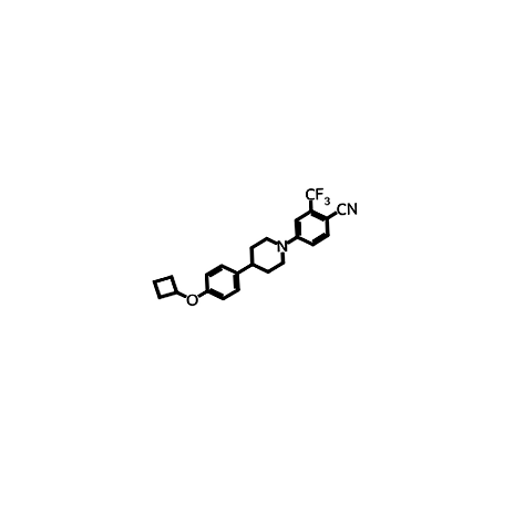 N#Cc1ccc(N2CCC(c3ccc(OC4CCC4)cc3)CC2)cc1C(F)(F)F